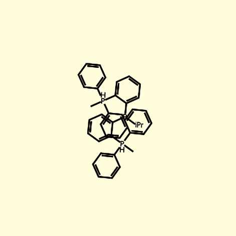 CC(C)P(c1ccccc1[PH](C)(c1ccccc1)c1ccccc1)c1ccccc1[PH](C)(c1ccccc1)c1ccccc1